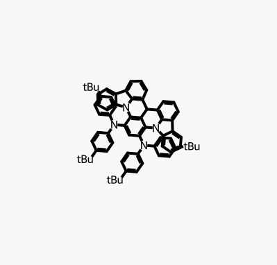 CC(C)(C)c1ccc(N(c2ccc(C(C)(C)C)cc2)c2cc(N(c3ccc(C(C)(C)C)cc3)c3ccc(C(C)(C)C)cc3)c3c4c2-n2c5ccccc5c5cccc(c52)C4c2cccc4c5ccccc5n-3c24)cc1